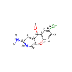 CN(C)c1cc2c(=O)c3cc(Br)ccc3oc2cn1